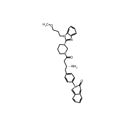 COCCCn1c([C@@H]2CCCN(C(=O)C[C@H](N)Cc3ccc(-n4cc5ccccc5cc4=O)cc3)C2)nc2ccccc21